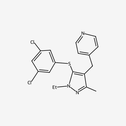 CCn1nc(C)c(Cc2ccncc2)c1Sc1cc(Cl)cc(Cl)c1